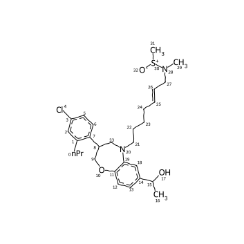 CCCc1cc(Cl)ccc1C1COc2ccc(C(C)O)cc2N(CCCC/C=C/CN(C)[S+](C)[O-])C1